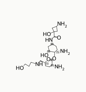 NC1CC(O)(C(=O)N[C@H]2C[C@@H](O)C(O[C@H]3O[C@H](CNCCCO)CC[C@H]3N)[C@@H](N)C2)C1